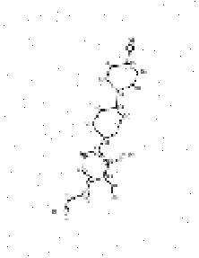 C/C=C/Oc1ccc(C2CCC(C3CCC(=O)CC3)CC2)c(F)c1F